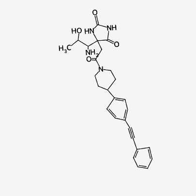 CC(O)C(N)C1(CC(=O)N2CCC(c3ccc(C#Cc4ccccc4)cc3)CC2)NC(=O)NC1=O